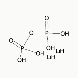 O=P(O)(O)OP(=O)(O)O.[LiH].[LiH]